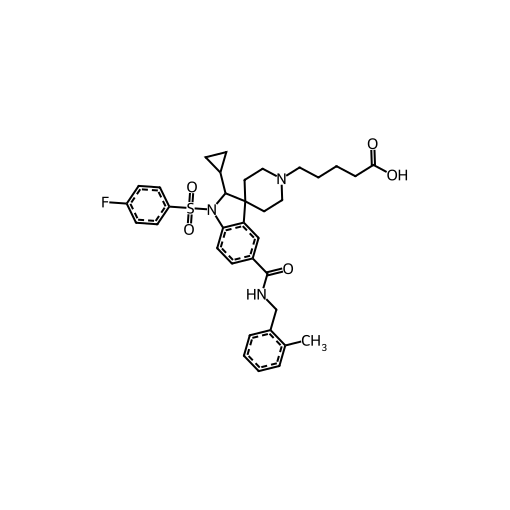 Cc1ccccc1CNC(=O)c1ccc2c(c1)C1(CCN(CCCCC(=O)O)CC1)C(C1CC1)N2S(=O)(=O)c1ccc(F)cc1